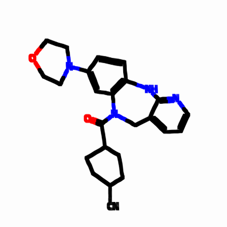 N#CC1CCC(C(=O)N2Cc3cccnc3Nc3ccc(N4CCOCC4)cc32)CC1